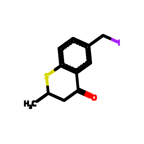 CC1CC(=O)c2cc(CI)ccc2S1